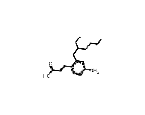 CCCCC(CC)Cc1cc(N)ccc1C=CC(=O)O